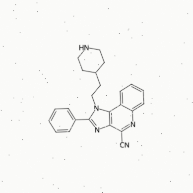 N#Cc1nc2ccccc2c2c1nc(-c1ccccc1)n2CCC1CCNCC1